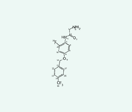 NCC(=O)Nc1ccc(OCc2ccc(C(F)(F)F)cc2)cc1F